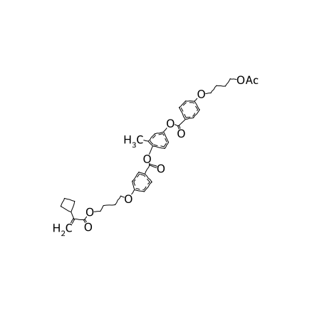 C=C(C(=O)OCCCCOc1ccc(C(=O)Oc2ccc(OC(=O)c3ccc(OCCCCOC(C)=O)cc3)cc2C)cc1)C1CCC1